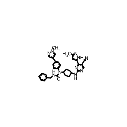 Cc1cc(-c2nc(NC3CCC(N(C(=O)NCc4ccccc4)c4ccc(-c5cnn(C)c5)cc4)CC3)ncc2C#N)[nH]n1